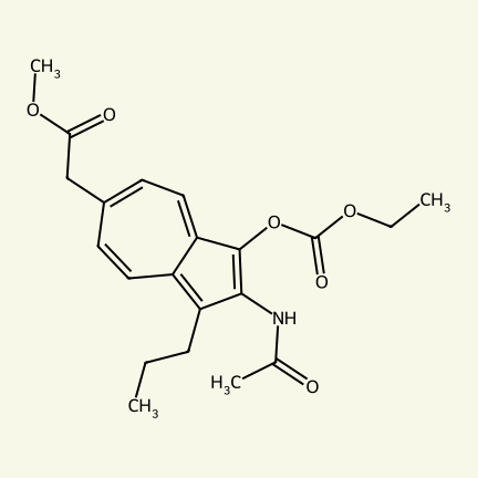 CCCc1c2ccc(CC(=O)OC)ccc-2c(OC(=O)OCC)c1NC(C)=O